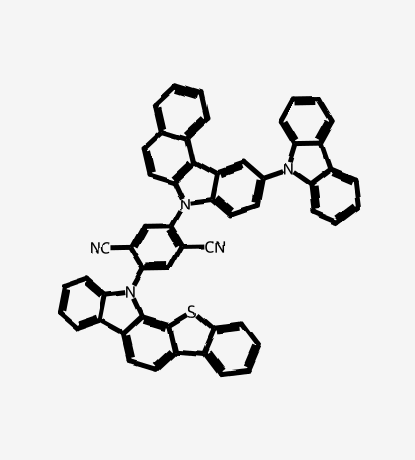 N#Cc1cc(-n2c3ccccc3c3ccc4c5ccccc5sc4c32)c(C#N)cc1-n1c2ccc(-n3c4ccccc4c4ccccc43)cc2c2c3ccccc3ccc21